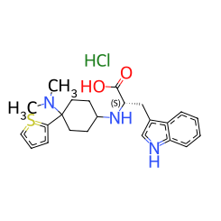 CN(C)C1(c2cccs2)CCC(N[C@@H](Cc2c[nH]c3ccccc23)C(=O)O)CC1.Cl